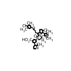 Cc1cc(OCCCc2c3n(c4c(-c5c(C)nn(C)c5C)c(Cl)ccc24)CCCN(c2cc(C(=O)O)cc(-c4cccnc4C)c2)C3=O)cc(C)c1Cl